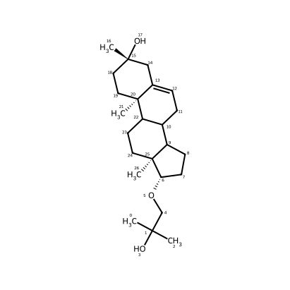 CC(C)(O)CO[C@H]1CCC2C3CC=C4C[C@@](C)(O)CC[C@]4(C)C3CC[C@@]21C